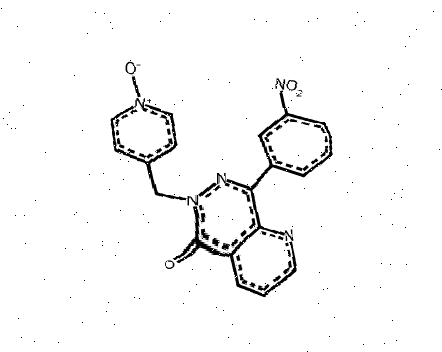 O=c1c2cccnc2c(-c2cccc([N+](=O)[O-])c2)nn1Cc1cc[n+]([O-])cc1